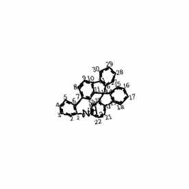 Nc1ccccc1-c1ccc2c(c1)C1(c3ccccc3-c3ccccc31)c1ccccc1-2